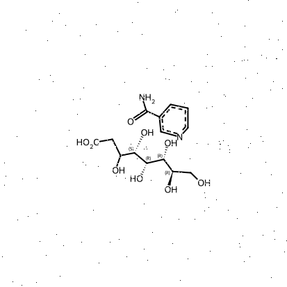 NC(=O)c1cccnc1.O=C(O)CC(O)[C@H](O)[C@@H](O)[C@H](O)[C@H](O)CO